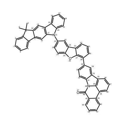 CC1(C)c2ccccc2-c2cc3c(cc21)c1ccccc1n3-c1ccc2oc3c(-c4ccc5c(c4)c4cccc6c7ccccc7c(=O)n5c64)cccc3c2c1